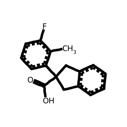 Cc1c(F)cccc1C1(C(=O)O)Cc2ccccc2C1